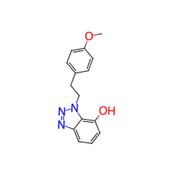 COc1ccc(CCn2nnc3cccc(O)c32)cc1